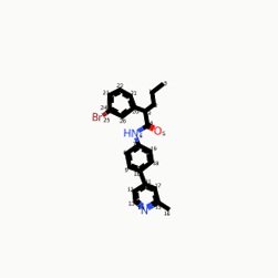 CCCC(C(=O)Nc1ccc(-c2ccnc(C)c2)cc1)c1cccc(Br)c1